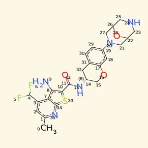 Cc1cc(C(F)F)c2c(N)c(C(=O)N[C@H]3COc4cc(N5CC6CNCC(C5)O6)ccc4C3)sc2n1